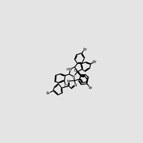 Clc1ccccc1C1NC(c2ccc(Br)cc2)C(c2ccc(Br)cc2)(c2ccc(Br)cc2)N1C1(c2ccccc2Cl)N=CC(c2ccc(Br)cc2)=N1